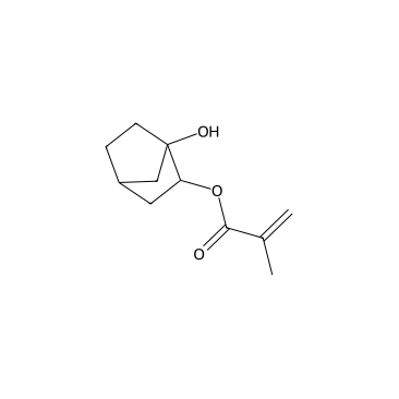 C=C(C)C(=O)OC1CC2CCC1(O)C2